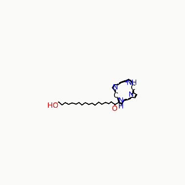 O=C(CCCCCCCCCCCCCCCCCO)c1cc2cc3nc(cc4ccc(cc5nc(cc1[nH]2)C=C5)[nH]4)C=C3